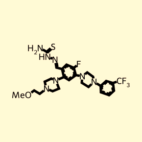 COCCN1CCN(c2cc(N3CCN(c4cccc(C(F)(F)F)c4)CC3)c(F)cc2/C=N/NC(N)=S)CC1